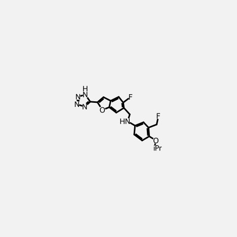 CC(C)Oc1ccc(NCc2cc3oc(-c4nnn[nH]4)cc3cc2F)cc1CF